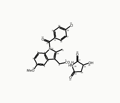 COc1ccc2c(c1)c(CC(=O)O)c(C)n2C(=O)c1ccc(Cl)cc1.O=C1CC(O)C(=O)N1